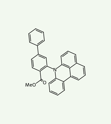 COC(=O)c1ccc(-c2ccccc2)cc1N1c2ccccc2-c2cccc3cccc1c23